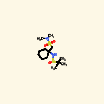 CN(C)S(=O)(=O)CC1(N[S@@+]([O-])C(C)(C)C)CCCCC1